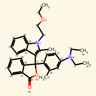 CCOCCn1c(C)c(C2(c3ccc(N(CC)CC)cc3C)OC(=O)c3ccccc32)c2ccccc21